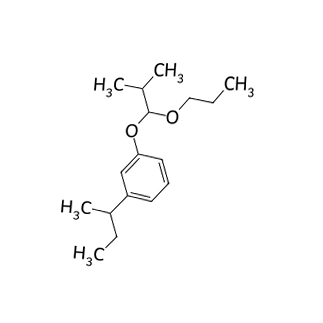 CCCOC(Oc1cccc(C(C)CC)c1)C(C)C